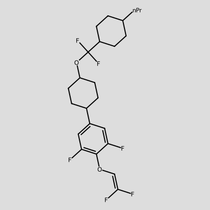 CCCC1CCC(C(F)(F)OC2CCC(c3cc(F)c(OC=C(F)F)c(F)c3)CC2)CC1